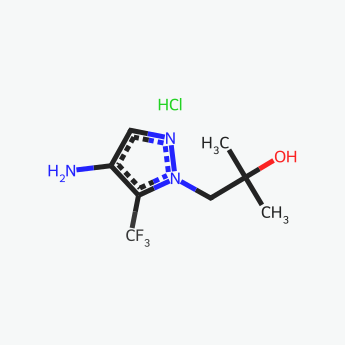 CC(C)(O)Cn1ncc(N)c1C(F)(F)F.Cl